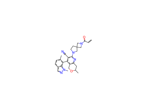 C=CC(=O)N1CC2(CCN(c3nc4c(c(-c5c(C)ccc6cnn(C)c56)c3C#N)COC(C)C4)C2)C1